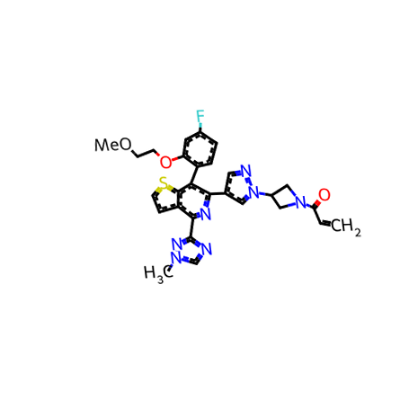 C=CC(=O)N1CC(n2cc(-c3nc(-c4ncn(C)n4)c4ccsc4c3-c3ccc(F)cc3OCCOC)cn2)C1